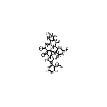 CCC(c1cc(F)cc(F)c1)n1c(-c2ccn(C)n2)nc(=O)c(C(=O)N2CCC(c3ccccc3OC)C2)c1O